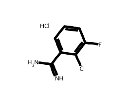 Cl.N=C(N)c1cccc(F)c1Cl